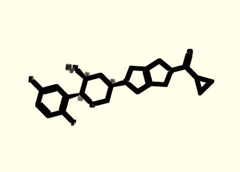 N[C@H]1C[C@@H](N2CC3=C(CN(C(=O)C4CC4)C3)C2)CO[C@@H]1c1cc(F)ccc1F